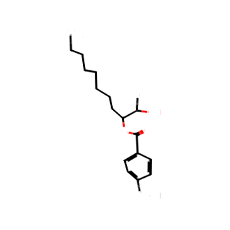 CCCCCCCCC(O)C(CCCCCCCC(=O)O)OC(=O)c1ccc(C(=O)O)cc1